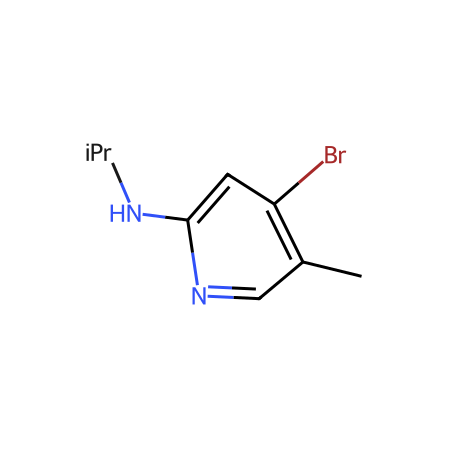 Cc1cnc(NC(C)C)cc1Br